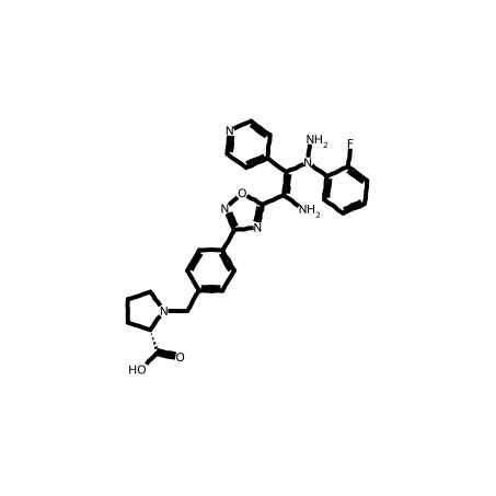 N/C(=C(/c1ccncc1)N(N)c1ccccc1F)c1nc(-c2ccc(CN3CCC[C@H]3C(=O)O)cc2)no1